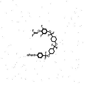 CCCCCc1ccc(C(F)(F)OC2CCC(C(F)(F)OC3CCC(C(F)(F)Oc4cc(F)c(OC=C(F)F)c(F)c4)CC3)CC2)cc1